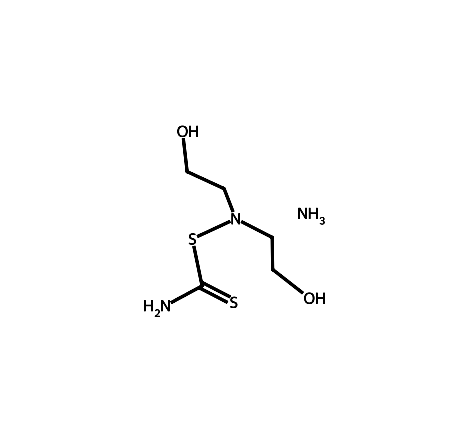 N.NC(=S)SN(CCO)CCO